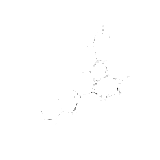 CN1CCC2CN(c3ncnc4sc(CC(F)(F)F)cc34)CC2C1